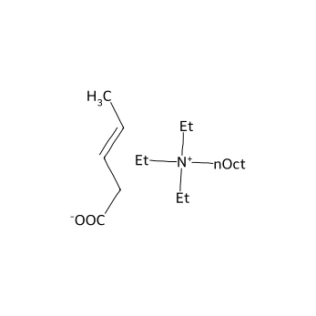 C/C=C/CC(=O)[O-].CCCCCCCC[N+](CC)(CC)CC